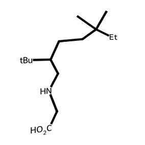 CCC(C)(C)CCC(CNCC(=O)O)C(C)(C)C